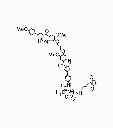 COc1ccc(C2=CN3C(=O)c4cc(OC)c(OCCCOc5cc6c(cc5OC)C(=O)N5C=C(c7ccc(NC(=O)[C@H](C)NC(=O)C8(C(=O)NCCCCCN9C(=O)C=CC9=O)CCC8)cc7)CC5C=N6)cc4N=C[C@@H]3C2)cc1